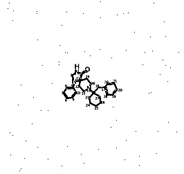 O=C1NCN(c2ccccc2)C12CCN(C1(Cc3ccccc3)CCCCC1)CC2